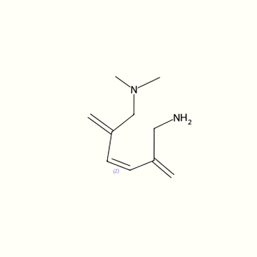 C=C(/C=C\C(=C)CN(C)C)CN